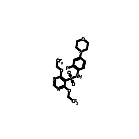 O=S(=O)(Nc1ccc(N2CCOCC2)cc1F)c1c(OCC(F)(F)F)ncnc1OCC(F)(F)F